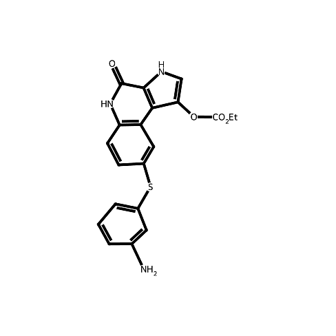 CCOC(=O)Oc1c[nH]c2c(=O)[nH]c3ccc(Sc4cccc(N)c4)cc3c12